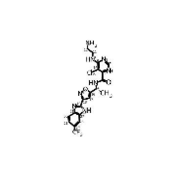 C[C@@H](NC(=O)c1ncnc(NCCN)c1Cl)c1cc(-c2nc3ccc(C(F)(F)F)cc3[nH]2)no1